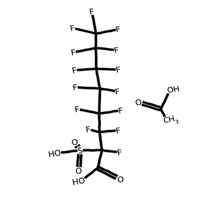 CC(=O)O.O=C(O)C(F)(C(F)(F)C(F)(F)C(F)(F)C(F)(F)C(F)(F)C(F)(F)F)S(=O)(=O)O